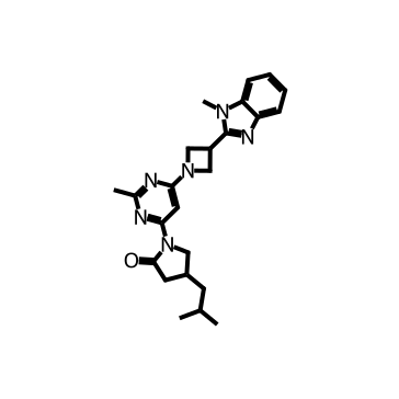 Cc1nc(N2CC(c3nc4ccccc4n3C)C2)cc(N2CC(CC(C)C)CC2=O)n1